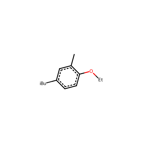 CCOc1ccc(C(C)CC)cc1C